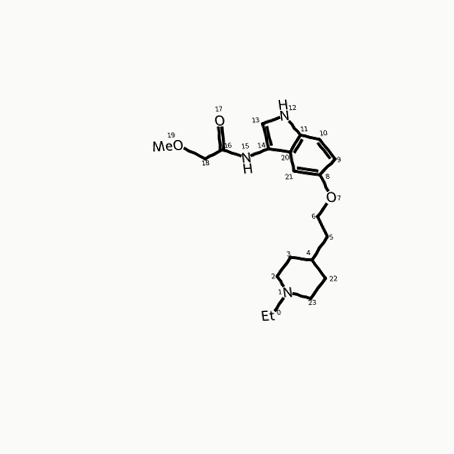 CCN1CCC(CCOc2ccc3[nH]cc(NC(=O)COC)c3c2)CC1